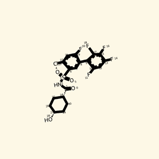 O=C(NS(=O)(=O)c1cc(-c2c(F)cc(F)c(F)c2F)c(F)cc1Cl)[C@H]1CC[C@@H](O)CC1